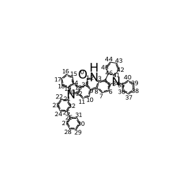 O=c1[nH]c2c3c(ccc2c2ccc4c(c5ccccc5n4-c4cccc(-c5ccccc5)c4)c12)N(c1ccccc1)C1C=CC=CC31